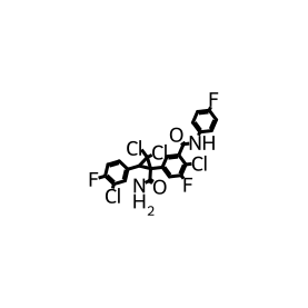 NC(=O)C1(c2cc(F)c(Cl)c(C(=O)Nc3ccc(F)cc3)c2)C(c2ccc(F)c(Cl)c2)C1(Cl)Cl